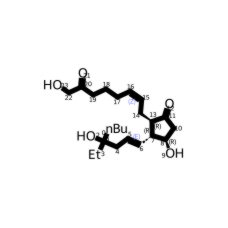 CCCCC(O)(CC)C/C=C/[C@H]1[C@H](O)CC(=O)[C@@H]1C/C=C\CCCC(=O)CO